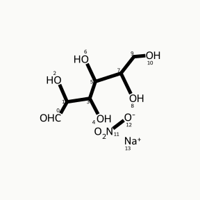 O=CC(O)C(O)C(O)C(O)CO.O=[N+]([O-])[O-].[Na+]